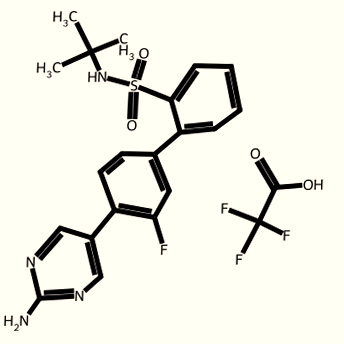 CC(C)(C)NS(=O)(=O)c1ccccc1-c1ccc(-c2cnc(N)nc2)c(F)c1.O=C(O)C(F)(F)F